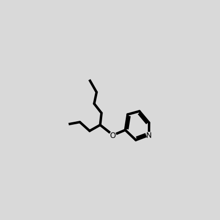 CCCCC(CCC)Oc1cccnc1